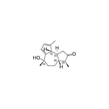 CC1=CC=C2[C@H]1[C@H]1CC(=O)[C@@H](C)[C@@H]1CC[C@]2(C)O